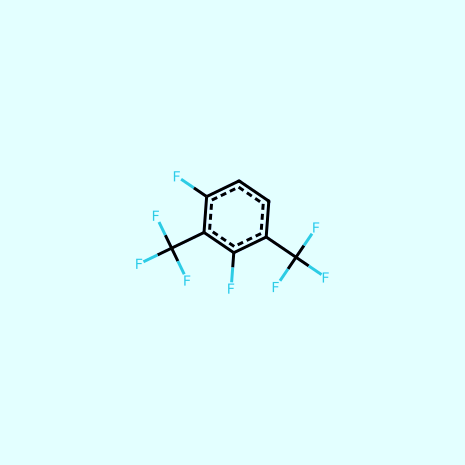 Fc1ccc(C(F)(F)F)c(F)c1C(F)(F)F